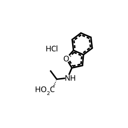 C[C@H](Nc1cc2ccccc2o1)C(=O)O.Cl